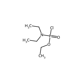 CCOP(=O)(Cl)N(CC)CC